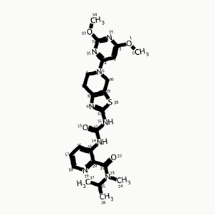 COc1cc(N2CCc3nc(NC(=O)Nc4cccnc4C(=O)N(C)C(C)C)sc3C2)nc(OC)n1